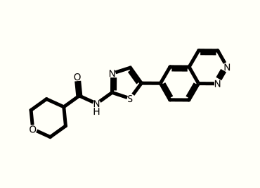 O=C(Nc1ncc(-c2ccc3nnccc3c2)s1)C1CCOCC1